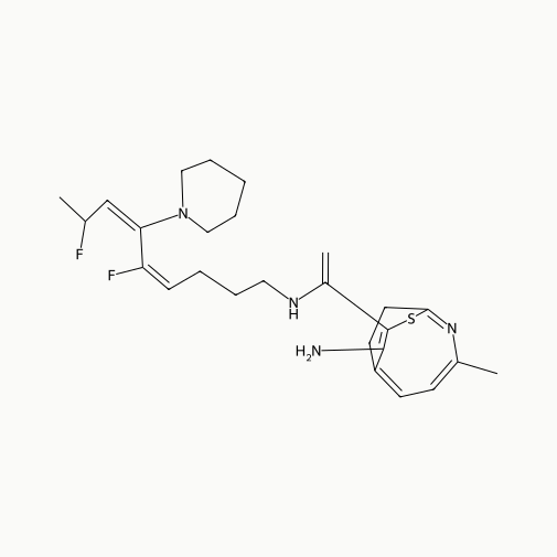 C=C(NCCC/C=C(F)\C(=C/C(C)F)N1CCCCC1)C1=C(N)/C2=C/C=C(C)\N=C(/CC2)S1